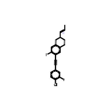 C/C=C/C1CCc2cc(C#Cc3ccc(Cl)c(F)c3)c(F)cc2C1